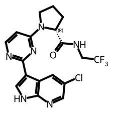 O=C(NCC(F)(F)F)[C@H]1CCCN1c1ccnc(-c2c[nH]c3ncc(Cl)cc23)n1